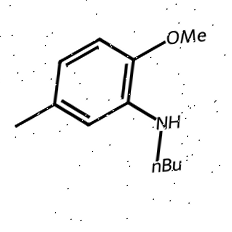 CCCCNc1cc(C)ccc1OC